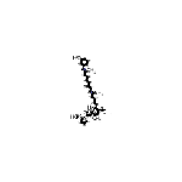 CO[C@H]1C[C@@H](C)[C@](O)(CC(=O)N2CCC[C@H]2OO)O[C@H]1CCCC/C(C)=C/CC(=O)CCCC/C(C)=C/[C@@H]1CCC[C@H](O)C1